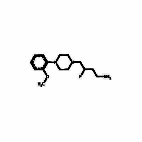 COc1ccccc1N1CCN(CC(F)CCN)CC1